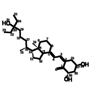 C=C1C(=CC=C2CCC[C@@]3(C)C2CC[C@@H]3[C@H](C)CCCC(O)(CC)CC)C[C@@H](O)C[C@@H]1O